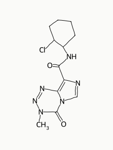 Cn1nnc2c(C(=O)NC3CCCCC3Cl)ncn2c1=O